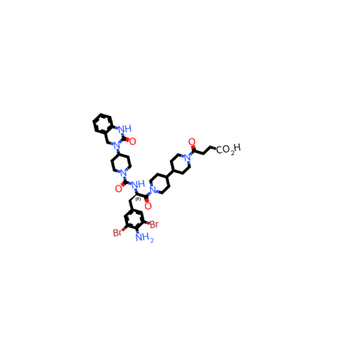 Nc1c(Br)cc(C[C@@H](NC(=O)N2CCC(N3Cc4ccccc4NC3=O)CC2)C(=O)N2CCC(C3CCN(C(=O)CCC(=O)O)CC3)CC2)cc1Br